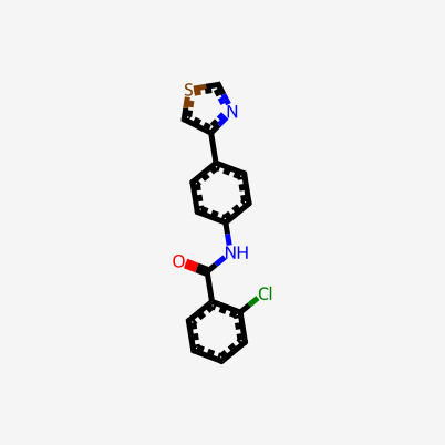 O=C(Nc1ccc(-c2cscn2)cc1)c1ccccc1Cl